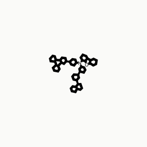 c1cc(-c2cccc(N(c3ccc(-c4ccc5c6ccccc6c6ccccc6c5c4)cc3)c3cccc4c3oc3ccccc34)c2)cc(-c2cccc3ccccc23)c1